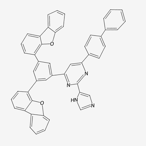 c1ccc(-c2ccc(-c3cc(-c4cc(-c5cccc6c5oc5ccccc56)cc(-c5cccc6c5oc5ccccc56)c4)nc(-c4cnc[nH]4)n3)cc2)cc1